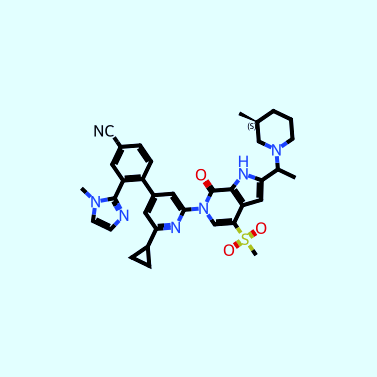 CC(c1cc2c(S(C)(=O)=O)cn(-c3cc(-c4ccc(C#N)cc4-c4nccn4C)cc(C4CC4)n3)c(=O)c2[nH]1)N1CCC[C@H](C)C1